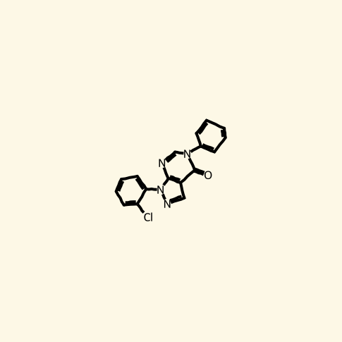 O=c1c2cnn(-c3ccccc3Cl)c2ncn1-c1ccccc1